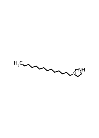 CCCCCCCCCCCCCCN1CCNC1